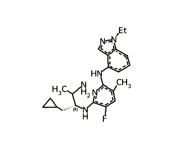 CCn1ncc2c(Nc3nc(N[C@H](CC4CC4)C(C)N)c(F)cc3C)cccc21